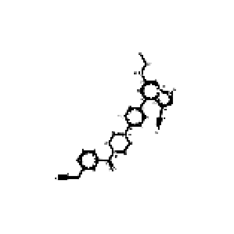 C#CCc1cccc(C(=O)N2CCN(c3ccc(-c4cc(OCC)cn5ncc(C#N)c45)cn3)CC2)c1